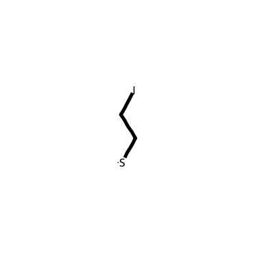 [S]CCI